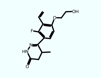 C=Cc1c(OCCO)ccc(C2=NNC(=O)CC2C)c1F